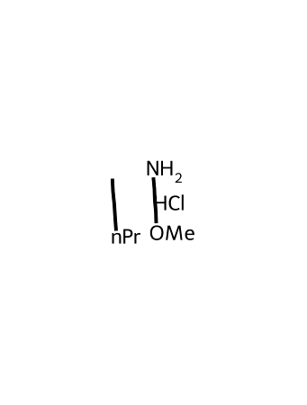 CCCC.CON.Cl